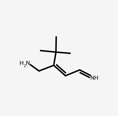 CC(C)(C)/C(=C\C=N)CN